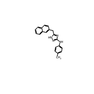 Cc1ccc(Nc2n[nH]c(Cc3ccc4ccccc4c3)n2)cc1